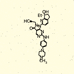 C#CCn1c(=O)c2cnc(Nc3ccc(N4CCN(C)CC4)cc3)nc2n1-c1ccc2c(n1)[C@](O)(CC)CC2